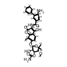 CO[C@@H]1[C@@H](OC(N)=O)[C@@H](O)[C@H](Oc2ccc3c(O)c(NC(=O)c4ccc(N)c(-c5ccccc5)c4)c(=O)oc3c2C)OC1(C)C